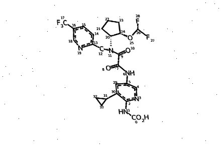 O=C(O)Nc1ncc(NC(=O)C(=O)N(Cc2ccc(C(F)(F)F)cn2)[C@@H]2CCC[C@H]2OC(F)F)cc1C1CC1